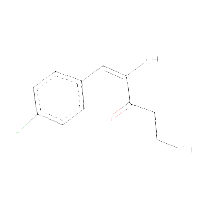 CCCC(=O)C(C)=Cc1ccc(F)cc1